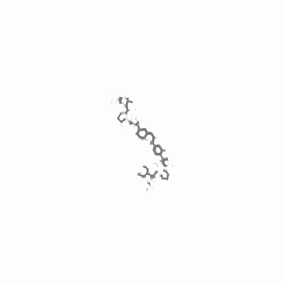 COC(=O)N[C@H](C(=O)N1CCC[C@H]1c1ncc(-c2ccc3nc(-c4ccc(-c5cnc([C@@H]6CCCN6C(=O)[C@@H](NC(=O)OC)C6CCOCC6)[nH]5)c(F)c4)ccc3c2)[nH]1)C(C)C